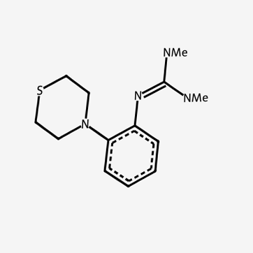 CNC(=Nc1ccccc1N1CCSCC1)NC